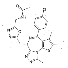 CC(=O)NCc1nnc(C[C@@H]2N=C(c3ccc(Cl)cc3)c3c(sc(C)c3C)-n3c(C)nnc32)o1